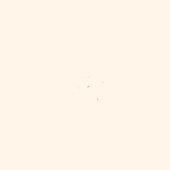 CC[C@H]1O[C@H](OC)[C@](C)(NC(=O)C(F)(F)F)[C@@H]1C